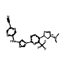 CN(C)[C@@H]1CCN(c2ccc(-n3cnc(Nc4cnc(C#N)cn4)c3)nc2C(F)(F)F)C1